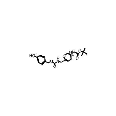 CC(C)(C)OC(=O)N[C@@H]1CC=C(CNC(=O)OCc2ccc(O)cc2)OC1